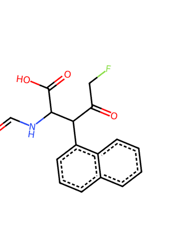 O=CNC(C(=O)O)C(C(=O)CF)c1cccc2ccccc12